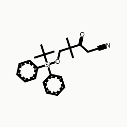 CC(C)(CO[Si](c1ccccc1)(c1ccccc1)C(C)(C)C)C(=O)CC#N